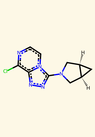 Clc1nccn2c(N3C[C@H]4C[C@H]4C3)nnc12